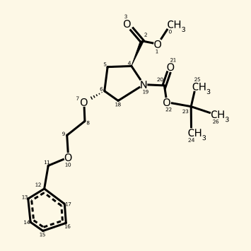 COC(=O)[C@@H]1C[C@@H](OCCOCc2ccccc2)CN1C(=O)OC(C)(C)C